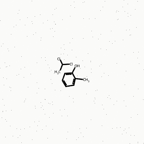 CC(Cl)Cl.Cc1ccccc1O